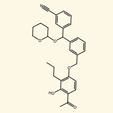 CCCc1c(OCc2cccc(C(OC3CCCCO3)c3cccc(C#N)c3)c2)ccc(C(C)=O)c1O